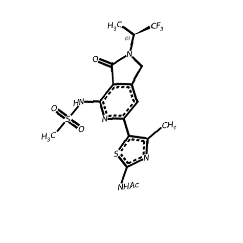 CC(=O)Nc1nc(C)c(-c2cc3c(c(NS(C)(=O)=O)n2)C(=O)N([C@@H](C)C(F)(F)F)C3)s1